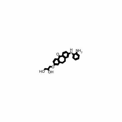 Nc1ccccc1Nc1ccc2c(c1)CCc1cc(OCC(O)CO)ccc1C2=O